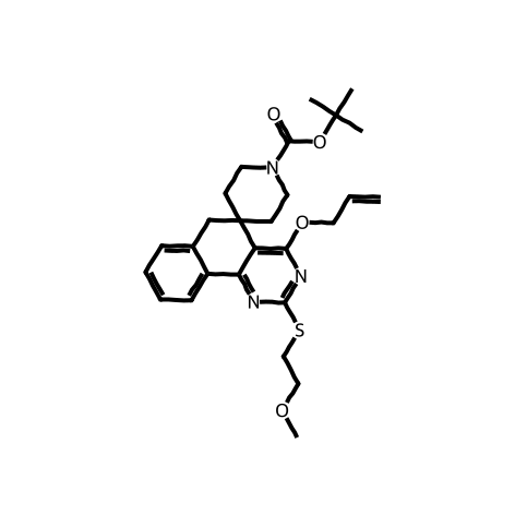 C=CCOc1nc(SCCOC)nc2c1C1(CCN(C(=O)OC(C)(C)C)CC1)Cc1ccccc1-2